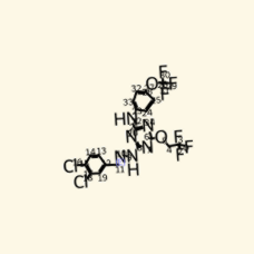 FC(F)(F)COc1nc(N/N=C/c2ccc(Cl)c(Cl)c2)nc(Nc2ccc(OC(F)(F)F)cc2)n1